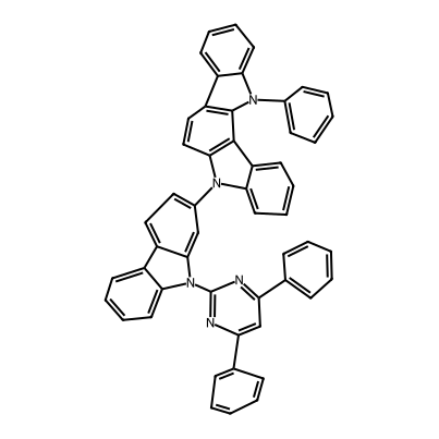 c1ccc(-c2cc(-c3ccccc3)nc(-n3c4ccccc4c4ccc(-n5c6ccccc6c6c5ccc5c7ccccc7n(-c7ccccc7)c56)cc43)n2)cc1